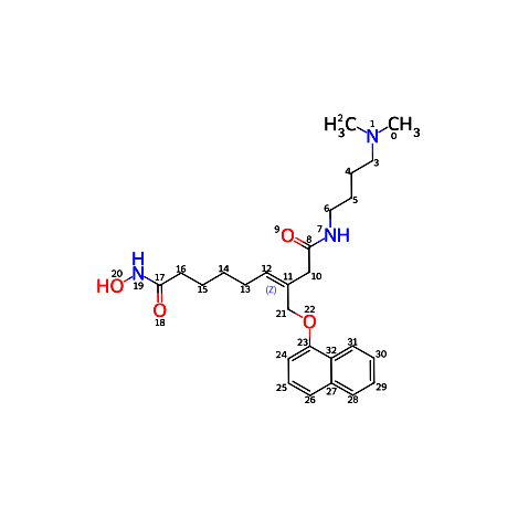 CN(C)CCCCNC(=O)C/C(=C/CCCCC(=O)NO)COc1cccc2ccccc12